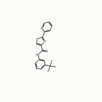 O=C(Nc1cccc(C(F)(F)F)c1)c1coc(-c2ccccn2)n1